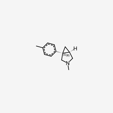 Cc1ccc([C@]23C[C@H]2CN(C)C3)cc1